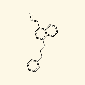 NN=Nc1ccc(NCCc2ccccc2)c2ccccc12